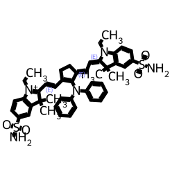 CCN1/C(=C/C=C2\CCC(/C=C/C3=[N+](CC)c4ccc(S(N)(=O)=O)cc4C3(C)C)=C2N(c2ccccc2)c2ccccc2)C(C)(C)c2cc(S(N)(=O)=O)ccc21